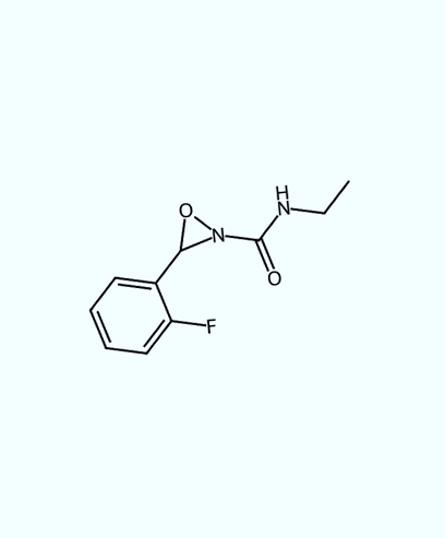 CCNC(=O)N1OC1c1ccccc1F